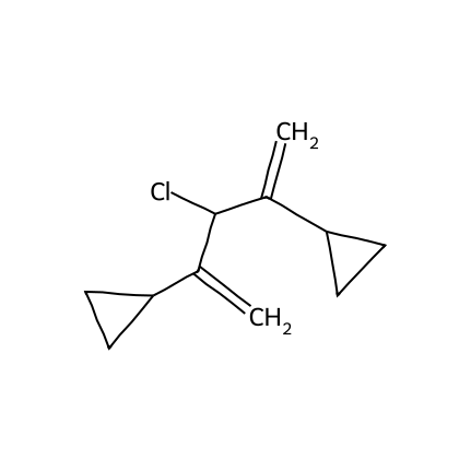 C=C(C1CC1)C(Cl)C(=C)C1CC1